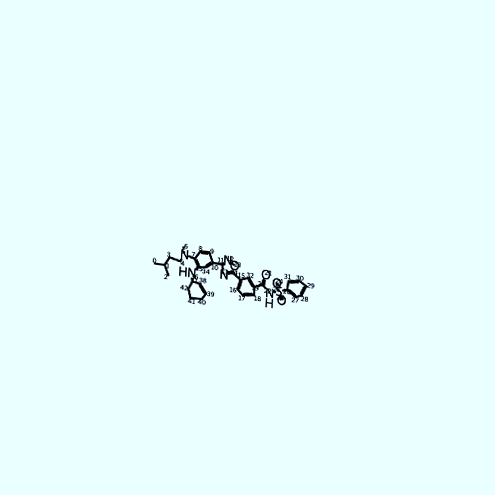 CC(C)CCN(C)c1ccc(-c2noc(-c3cccc(C(=O)NS(=O)(=O)c4ccccc4)c3)n2)cc1NC1C=CCCC1